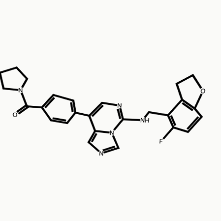 O=C(c1ccc(-c2cnc(NCc3c(F)ccc4c3CCO4)n3cncc23)cc1)N1CCCC1